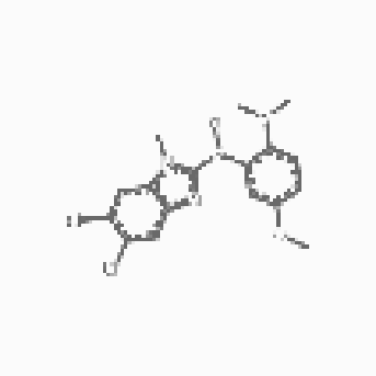 COc1ccc(N(C)C)c([S+]([O-])c2nc3cc(Cl)c(Cl)cc3n2C)c1